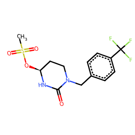 CS(=O)(=O)O[C@H]1CCN(Cc2ccc(C(F)(F)F)cc2)C(=O)N1